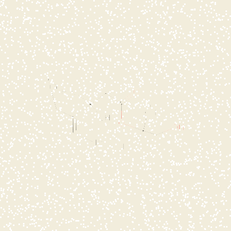 CC(C)C=C(CC(C)C)C(C)(C)CC(=O)OC(C)(C)CO